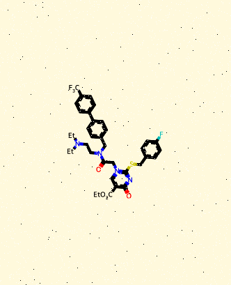 CCOC(=O)c1cn(CC(=O)N(CCN(CC)CC)Cc2ccc(-c3ccc(C(F)(F)F)cc3)cc2)c(SCc2ccc(F)cc2)nc1=O